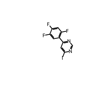 Fc1cc(F)c(-c2cc(I)ncn2)cc1F